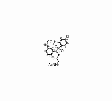 CC(=O)NCC1CN(S(=O)(=O)c2ccc(Cl)cc2)c2cc(NC(=O)O)ccc2O1